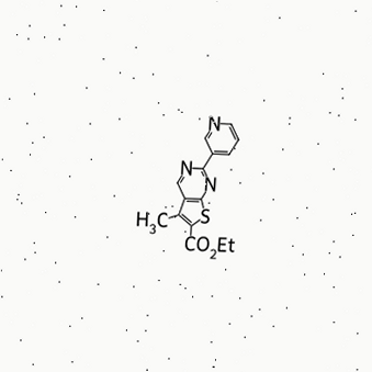 CCOC(=O)c1sc2nc(-c3cccnc3)ncc2c1C